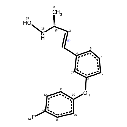 C[C@@H](/C=C/c1cccc(Oc2ccc(F)cc2)c1)NO